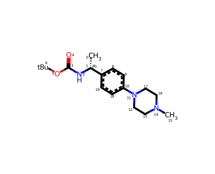 C[C@@H](NC(=O)OC(C)(C)C)c1ccc(N2CCN(C)CC2)cc1